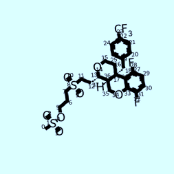 CS(=O)(=O)OCCCS(=O)(=O)CC[C@@H]1OCC[C@@]2(Cc3ccc(C(F)(F)F)cc3)c3c(F)ccc(F)c3OC[C@@H]12